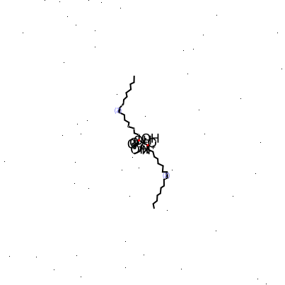 CCCCCCCC/C=C\CCCCCCCC(=O)C(O)(C(=O)CCCCCCC/C=C\CCCCCCCC)C(CC)([N+](C)(C)C)P(=O)(O)O